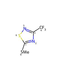 CSc1nc(C(F)(F)F)ns1